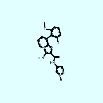 COc1cccc(F)c1-c1cccn2c(N)c(C(=O)Nc3cnn(C)c3)nc12